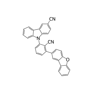 N#Cc1ccc2c(c1)c1ccccc1n2-c1cccc(-c2ccc3oc4ccccc4c3c2)c1C#N